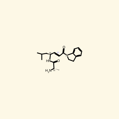 CC(C)C[C@@H](/C=C/C(=O)N1CCc2ccccc21)NC(=O)[C@H](C)N